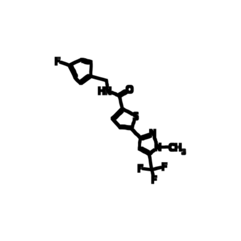 Cn1nc(-c2ccc(C(=O)NCc3ccc(F)cc3)s2)cc1C(F)(F)F